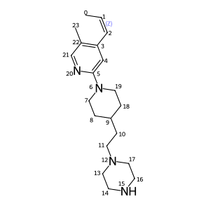 C/C=C\c1cc(N2CCC(CCN3CCNCC3)CC2)ncc1C